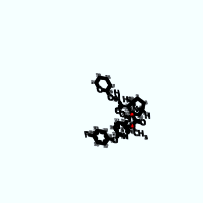 CN(C)C(=O)CN1[C@@H]2CC[C@H]1[C@H](C(=O)NOC1CCCCO1)N(S(=O)(=O)c1ccc(Oc3ccc(F)cc3)nc1)C2